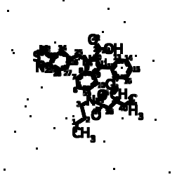 CCCCN(c1ccc2c(c1)c(-c1ccccc1OC)c(C(=O)O)n2Cc1ccc2nsnc2c1)S(=O)(=O)CCCC